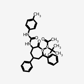 CC(=O)N(N1C(=O)C(NC(=O)Nc2ccc(C)cc2)CC(c2ccccc2)CC1c1ccccc1)C(C)(C)C